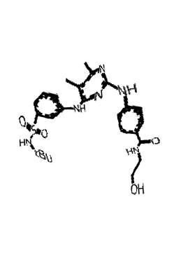 Cc1nc(Nc2ccc(C(=O)NCCO)cc2)nc(Nc2cccc(S(=O)(=O)NC(C)(C)C)c2)c1C